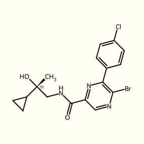 C[C@@](O)(CNC(=O)c1cnc(Br)c(-c2ccc(Cl)cc2)n1)C1CC1